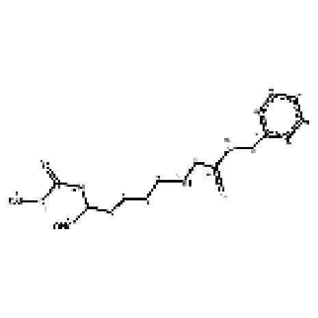 CC(C)(C)OC(=O)NC(C=O)CCCCNCC(=O)OCc1ccccc1